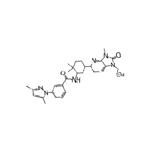 Cc1cc(C)n(-c2cccc(C(=O)NC3CC(C4CC=c5c(n(C)c(=O)n5CC(C)(C)C)=N4)CCC3(C)C)c2)n1